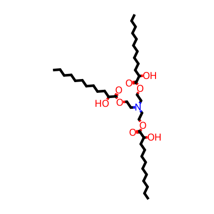 CCCCCCCCCCC(O)C(=O)OCCN(CCOC(=O)C(O)CCCCCCCCCC)CCOC(=O)C(O)CCCCCCCCCC